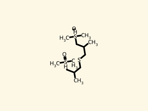 CC(CSCC(C)C[SH](C)(C)=O)C[SH](C)(C)=O